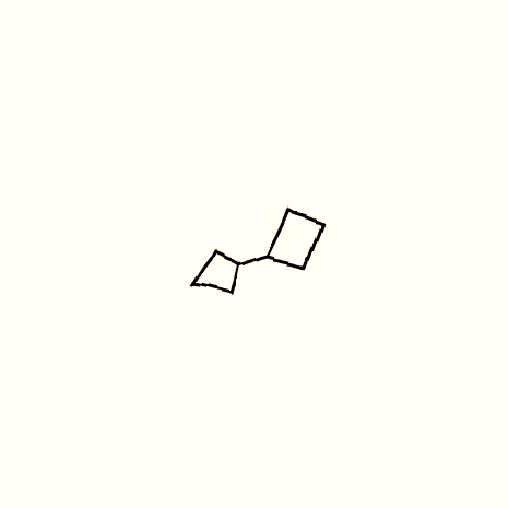 [CH]1CCC1[C]1CCC1